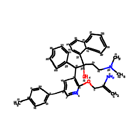 C=C(N)COc1ncc(-c2ccc(C)cc2)cc1C(c1ccccc1)C(O)(CCN(C)C)c1cccc2ccccc12